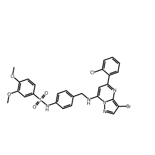 COc1ccc(S(=O)(=O)Nc2ccc(CNc3cc(-c4ccccc4Cl)nc4c(Br)cnn34)cc2)cc1OC